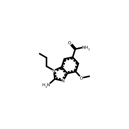 CCCn1c(N)nc2c(OC)cc(C(N)=O)cc21